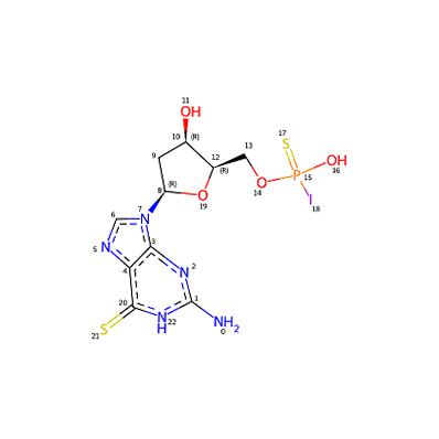 Nc1nc2c(ncn2[C@H]2C[C@@H](O)[C@@H](COP(O)(=S)I)O2)c(=S)[nH]1